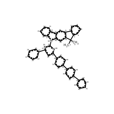 CC1(C)c2ccccc2-c2cc3c4ccccc4n(-c4nc(-c5ccccc5)cc(-c5ccc(-c6ccc(-c7ccccc7)cc6)cc5)n4)c3cc21